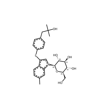 Cc1ccc2c(Sc3ccc(CC(C)(C)O)cc3)cn([C@@H]3O[C@H](CO)[C@@H](O)[C@H](O)[C@H]3O)c2c1